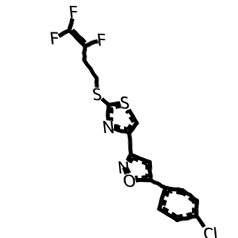 FC(F)=C(F)CCSc1nc(-c2cc(-c3ccc(Cl)cc3)on2)cs1